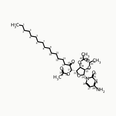 CCCCCCCCCCCCCCCC(=O)C(OC(C)=O)[C@H]1O[C@@H](n2ccc(N)nc2=O)[C@H](OC(C)=O)[C@@H]1OC(C)=O